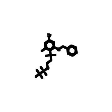 Cc1cc(Br)cc(OCc2ccccc2)c1C(C)(C)CCO[Si](C)(C)C(C)(C)C